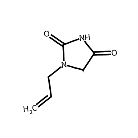 C=CCN1[CH]C(=O)NC1=O